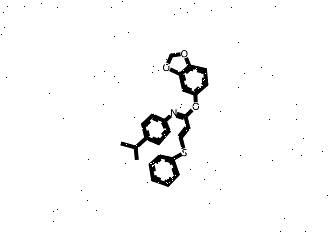 CC(C)c1ccc(N=C(C=CSc2ccccc2)Oc2ccc3c(c2)OCO3)cc1